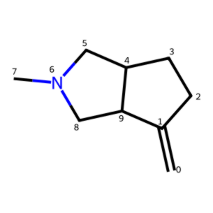 C=C1CCC2CN(C)CC12